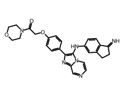 N=C1CCc2cc(Nc3c(-c4ccc(OCC(=O)N5CCOCC5)cc4)nc4cnccn34)ccc21